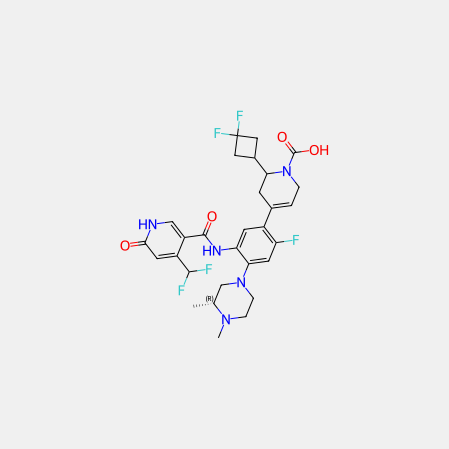 C[C@@H]1CN(c2cc(F)c(C3=CCN(C(=O)O)C(C4CC(F)(F)C4)C3)cc2NC(=O)c2c[nH]c(=O)cc2C(F)F)CCN1C